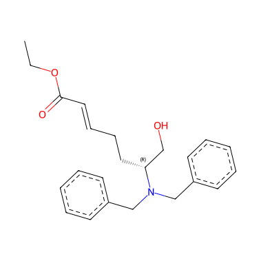 CCOC(=O)C=CCC[C@H](CO)N(Cc1ccccc1)Cc1ccccc1